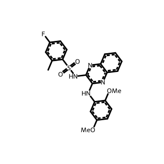 COc1ccc(OC)c(Nc2nc3ccccc3nc2NS(=O)(=O)c2ccc(F)cc2C)c1